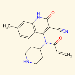 C=CC(=O)N(c1c(C#N)c(=O)[nH]c2cc(C)ccc12)C1CCNCC1